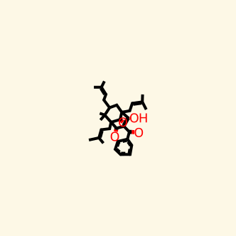 CC(C)=CCC1CC2(CC=C(C)C)C(=O)C(CC=C(C)C)(C(=O)C(C(=O)c3ccccc3)=C2O)C1(C)C